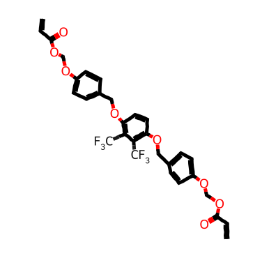 C=CC(=O)OCOc1ccc(COc2ccc(OCc3ccc(OCOC(=O)C=C)cc3)c(C(F)(F)F)c2C(F)(F)F)cc1